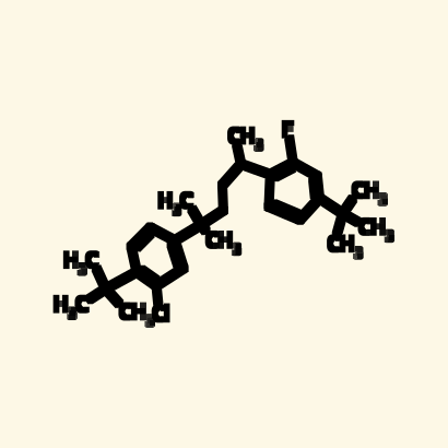 CC(CCC(C)(C)c1ccc(C(C)(C)C)c(Cl)c1)c1ccc(C(C)(C)C)cc1F